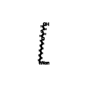 CCCCCCCCCCCCCCCCCCOCCSCCO